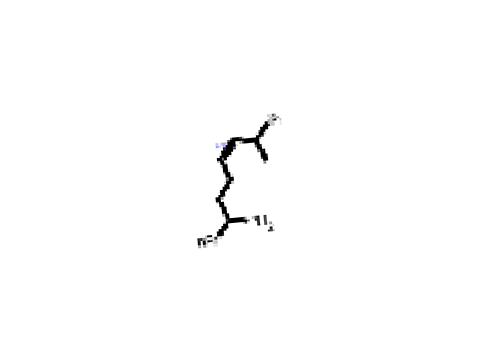 CCCC(P)CC/C=C\C(C)C(C)C